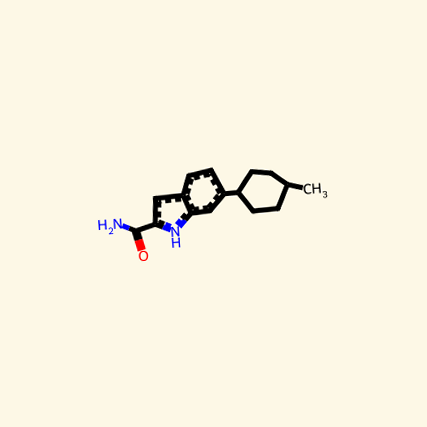 CC1CCC(c2ccc3cc(C(N)=O)[nH]c3c2)CC1